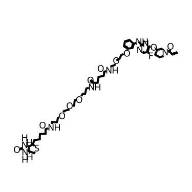 C=CC(=O)N1CCC[C@H](Oc2nc(Nc3cccc(OCCOCCNC(=O)CCCC(=O)NCCCOCCOCCOCCCNC(=O)CCCCC4SC[C@@H]5NC(=O)N[C@H]45)c3)ncc2F)C1